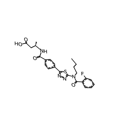 CCCCN(C(=O)c1ccccc1F)c1nnc(-c2ccc(C(=O)N[C@H](C)CC(=O)O)cc2)s1